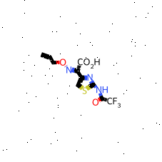 C=CCON=C(C(=O)O)c1csc(NC(=O)C(F)(F)F)n1